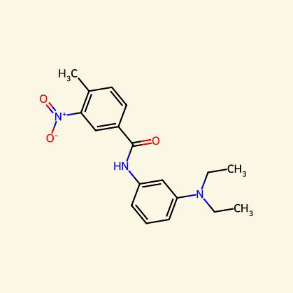 CCN(CC)c1cccc(NC(=O)c2ccc(C)c([N+](=O)[O-])c2)c1